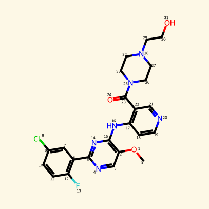 COc1cnc(-c2cc(Cl)ccc2F)nc1Nc1ccncc1C(=O)N1CCN(CCO)CC1